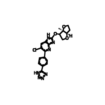 C[C@]12OCC[C@H]1OCC2Oc1nc2nc(-c3ccc(-c4nnn[nH]4)cc3)c(Cl)cc2[nH]1